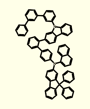 c1ccc(-c2cccc(-c3cccc(-n4c5ccccc5c5ccc(-c6ccccc6-c6ccc(N(c7ccc8c(c7)C(c7ccccc7)(c7ccccc7)c7ccccc7-8)c7cccc8ccccc78)cc6)cc54)c3)c2)cc1